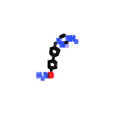 C=CN(Cc1ccc(-c2ccc(ON)cc2)cc1)/N=C\N